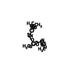 COc1cc(OCc2csc(C3CCN(S(=O)(=O)C(C)C)CC3)n2)c2cc(-c3cnc4sc(OC)nn34)oc2c1